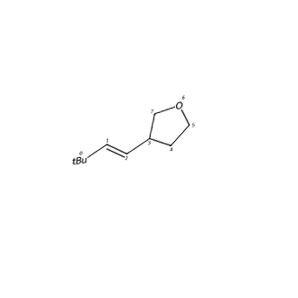 CC(C)(C)/C=C/C1CCOC1